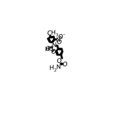 Cc1ccc(N(Cc2ccc(COC(N)=O)cc2)[SH](=O)=O)c([N+](=O)[O-])c1